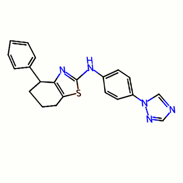 c1ccc(C2CCCc3sc(Nc4ccc(-n5cncn5)cc4)nc32)cc1